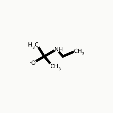 CCNC(C)(C)[O]